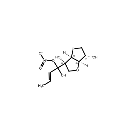 CC=CC(O)(O[N+](=O)[O-])[C@]1(O)CO[C@@H]2[C@@H](O)CO[C@@H]21